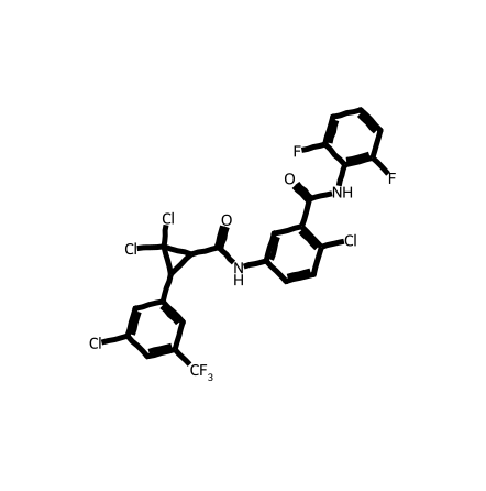 O=C(Nc1c(F)cccc1F)c1cc(NC(=O)C2C(c3cc(Cl)cc(C(F)(F)F)c3)C2(Cl)Cl)ccc1Cl